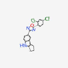 Clc1ccc(-c2nc(-c3ccc4[nH]c5c(c4c3)CC[CH]5)no2)c(Cl)c1